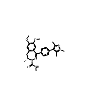 CNC(=O)N1N=C(c2ccc(-c3c(C)nn(C)c3C)cc2)c2cc(OC)c(OC)cc2C[C@H]1C